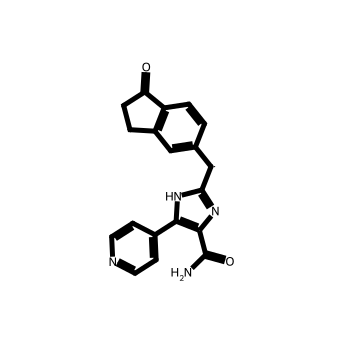 NC(=O)c1nc([CH]c2ccc3c(c2)CCC3=O)[nH]c1-c1ccncc1